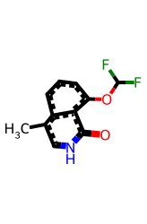 Cc1c[nH]c(=O)c2c(OC(F)F)cccc12